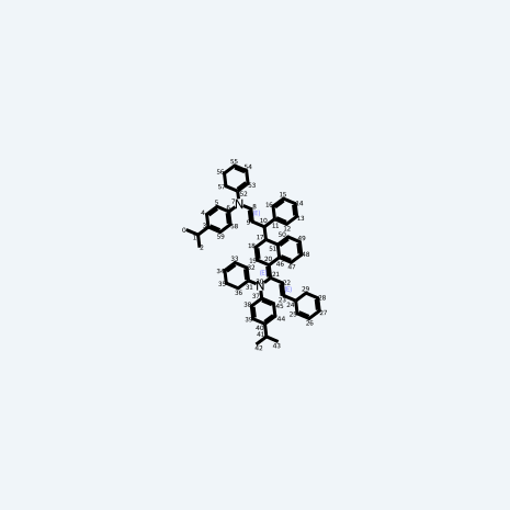 CC(C)c1ccc(N(/C=C/C(c2ccccc2)C2C=C/C(=C(/C=C/C3C=CC=CC3)N(C3=CC=CCC3)c3ccc(C(C)C)cc3)c3ccccc32)C2=CC=CCC2)cc1